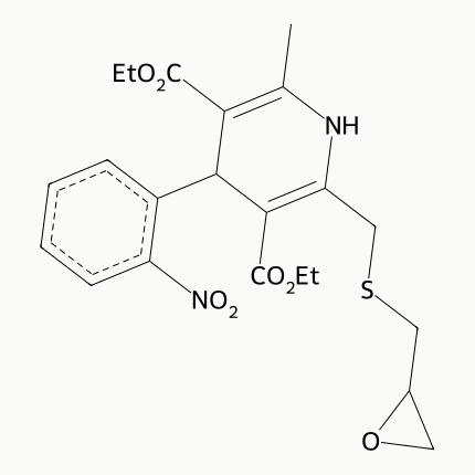 CCOC(=O)C1=C(C)NC(CSCC2CO2)=C(C(=O)OCC)C1c1ccccc1[N+](=O)[O-]